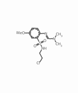 COc1ccc(N=CN(C)C)c(S(=O)(=O)NCCCl)c1